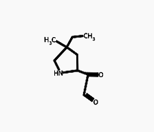 CCC1(C)CNC(C(=O)C=O)C1